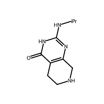 CC(C)Nc1nc2c(c(=O)[nH]1)CCNC2